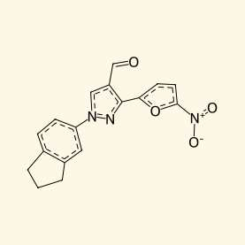 O=Cc1cn(-c2ccc3c(c2)CCC3)nc1-c1ccc([N+](=O)[O-])o1